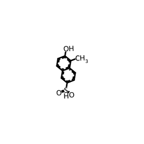 Cc1c(O)ccc2cc([SH](=O)=O)ccc12